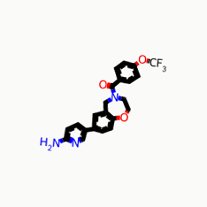 Nc1ccc(-c2ccc3c(c2)CN(C(=O)c2ccc(OC(F)(F)F)cc2)CCO3)cn1